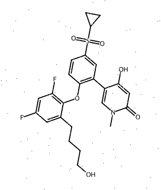 Cn1cc(-c2cc(S(=O)(=O)C3CC3)ccc2Oc2c(F)cc(F)cc2CCCCO)c(O)cc1=O